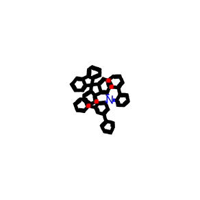 c1ccc(-c2cc(-c3ccccc3)cc(N(c3ccccc3-c3ccccc3)c3cccc4c3-c3ccccc3C43c4ccccc4-c4ccccc43)c2)cc1